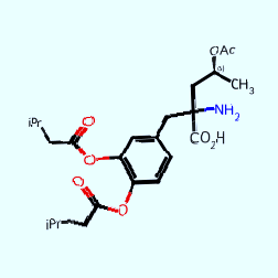 CC(=O)O[C@@H](C)CC(N)(Cc1ccc(OC(=O)CC(C)C)c(OC(=O)CC(C)C)c1)C(=O)O